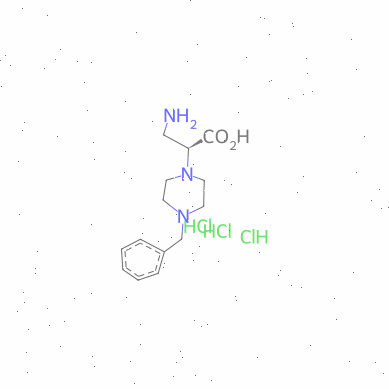 Cl.Cl.Cl.NC[C@@H](C(=O)O)N1CCN(Cc2ccccc2)CC1